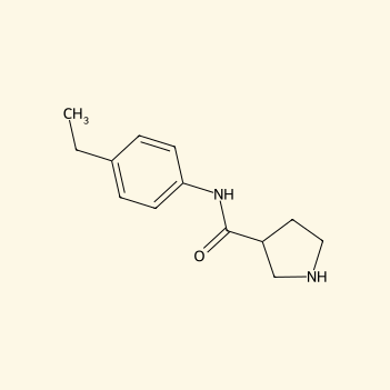 CCc1ccc(NC(=O)C2CCNC2)cc1